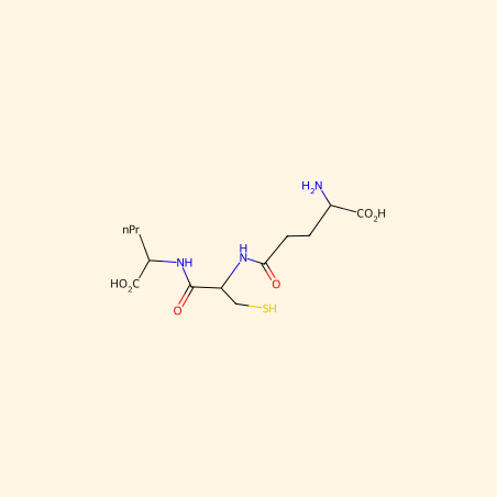 CCCC(NC(=O)C(CS)NC(=O)CCC(N)C(=O)O)C(=O)O